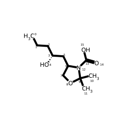 CCC[C@@H](O)CC1COC(C)(C)N1C(=O)O